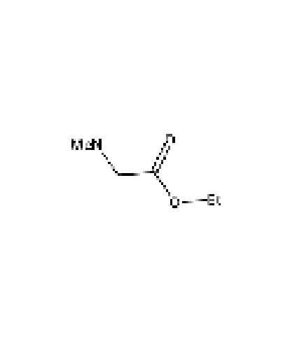 CCOC(=O)C[N+]C